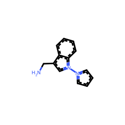 NCc1cn(-n2cccc2)c2ccccc12